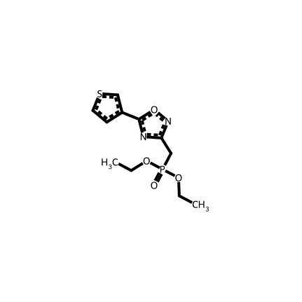 CCOP(=O)(Cc1noc(-c2ccsc2)n1)OCC